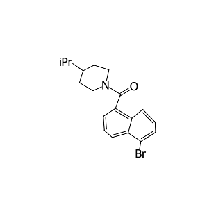 CC(C)C1CCN(C(=O)c2cccc3c(Br)cccc23)CC1